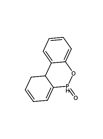 O=[PH]1Oc2ccccc2C2CC=CC=C21